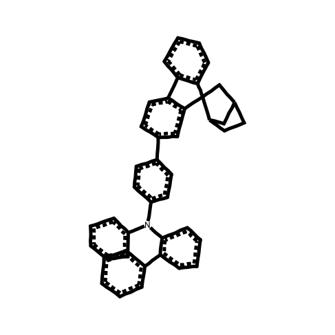 c1ccc(-c2ccccc2N(c2ccccc2)c2ccc(-c3ccc4c(c3)C3(CC5CCC3C5)c3ccccc3-4)cc2)cc1